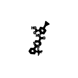 O=C(Nc1ccc(C2CC2)cc1C(=O)O)c1cnc(-c2ccccc2C(F)(F)F)nc1